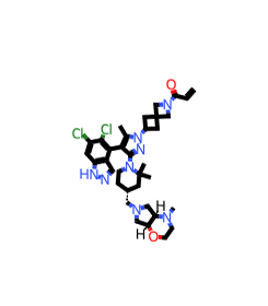 C=CC(=O)N1CC2(CC(n3nc(N4CC[C@@H](CN5C[C@@H]6OCCN(C)[C@@H]6C5)CC4(C)C)c(-c4c(Cl)c(Cl)cc5[nH]ncc45)c3C)C2)C1